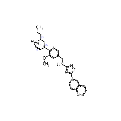 C\C=C/C(=C\C(C)=C\CC)c1ncc(CNc2nsc(-c3ccc4ncccc4c3)n2)cc1OC